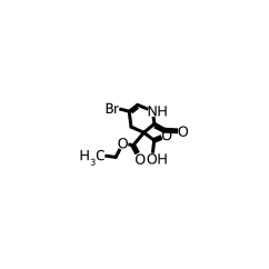 CCOC(=O)C1(C(=O)O)CC(Br)=CNC1=C=O